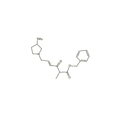 CSC1CCN(C/C=C/C(=O)C(C)C(=O)OCc2ccccc2)C1